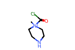 C[N+]1(C(=O)Cl)CCNCC1